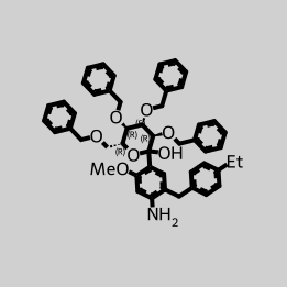 CCc1ccc(Cc2cc(C3(O)O[C@H](COCc4ccccc4)[C@@H](OCc4ccccc4)[C@H](OCc4ccccc4)[C@H]3OCc3ccccc3)c(OC)cc2N)cc1